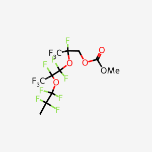 COC(=O)OCC(F)(OC(F)(F)C(F)(OC(F)(F)C(C)(F)F)C(F)(F)F)C(F)(F)F